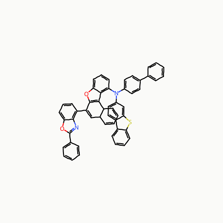 C1=CC2C=C(c3cccc4oc(-c5ccccc5)nc34)c3oc4cccc(N(c5ccc(-c6ccccc6)cc5)c5ccc6c(c5)sc5ccccc56)c4c3C2C=C1